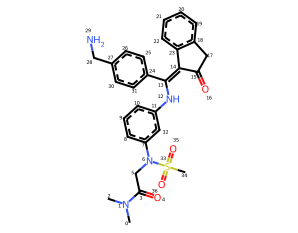 CN(C)C(=O)CN(c1cccc(N/C(=C2\C(=O)Cc3ccccc32)c2ccc(CN)cc2)c1)S(C)(=O)=O